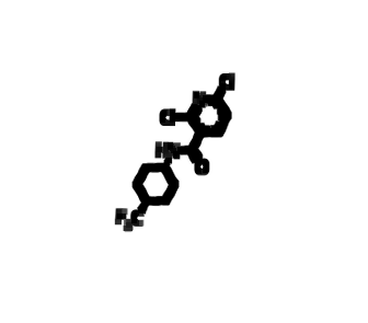 O=C(N[C@H]1CC[C@H](C(F)(F)F)CC1)c1ccc(Cl)nc1Cl